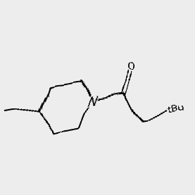 CC1CCN(C(=O)CC(C)(C)C)CC1